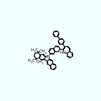 CC1(C)CCC(C)(C)c2cc3c(cc21)c1cc2ccccc2cc1n3-c1ccc2c(c1)CC(C1=C(c3ccc(-c4ccccc4)cc3)C=C=C3C=CC=CC3N1)C=C2